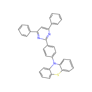 c1ccc(-c2cc(-c3ccccc3)nc(-c3ccc(N4c5ccccc5Sc5ccccc54)cc3)n2)cc1